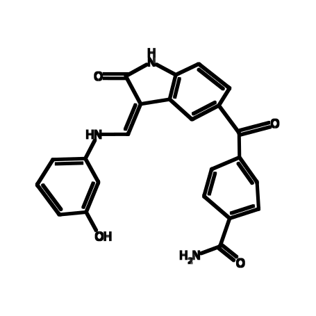 NC(=O)c1ccc(C(=O)c2ccc3c(c2)C(=CNc2cccc(O)c2)C(=O)N3)cc1